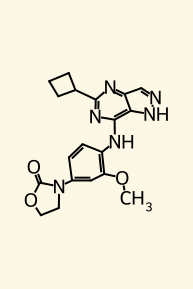 COc1cc(N2CCOC2=O)ccc1Nc1nc(C2CCC2)nc2cn[nH]c12